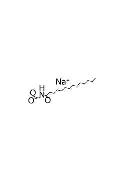 CCCCCCCCCCCCCC(=O)NCC(=O)[O-].[Na+]